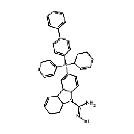 CC/N=C(\N)N1C2C=CC(S(C3=CCCC=C3)(c3ccc(-c4ccccc4)cc3)C3C=CCCC3)=CC2C2C=CCCC21